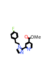 COC(=O)c1ccnc(-c2nccn2CCc2ccc(F)cc2)c1